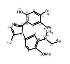 COc1ccc(-n2c(S)nnc2-c2cc(C(C)C)c(O)cc2O)cc1N(C)CC(C)C